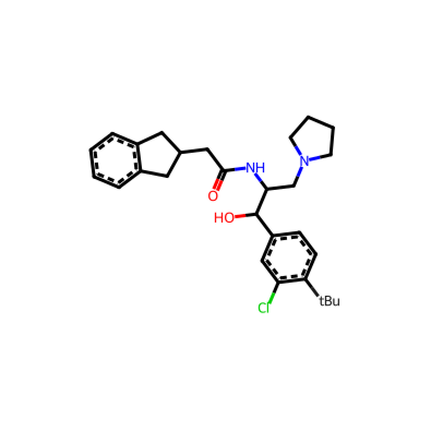 CC(C)(C)c1ccc(C(O)C(CN2CCCC2)NC(=O)CC2Cc3ccccc3C2)cc1Cl